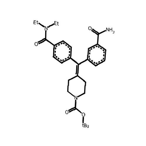 CCN(CC)C(=O)c1ccc(C(=C2CCN(C(=O)OC(C)(C)C)CC2)c2cccc(C(N)=O)c2)cc1